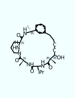 CC(C)C1NC(=O)[C@H](C)[C@H](O)CCCCc2cccc(c2)[C@@H](C)NC(=O)[C@@H]2CCCN(N2)C(=O)[C@H](C)NC1=O